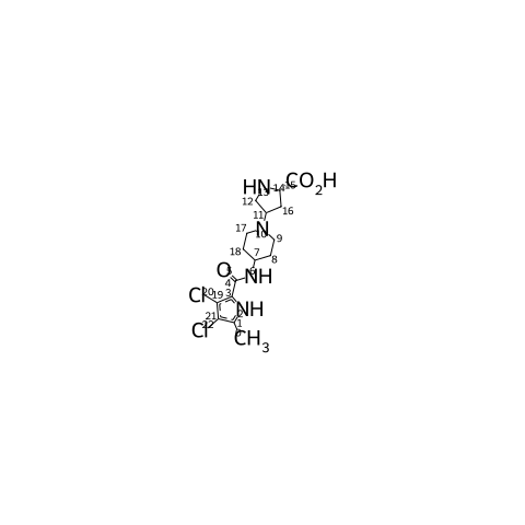 Cc1[nH]c(C(=O)NC2CCN(C3CN[C@H](C(=O)O)C3)CC2)c(Cl)c1Cl